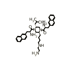 CC(C)C[C@@H]1CN(C(=O)[C@H](N)Cc2ccc3ccccc3c2)[C@@H](CCCCNCCN)CN1C(=O)[C@H](N)Cc1ccc2ccccc2c1